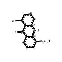 O=C(O)c1cccc2c(=O)c3c(I)cccc3[nH]c12